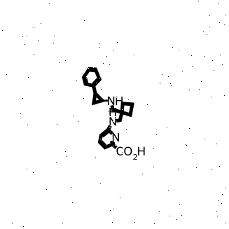 O=C(O)c1cccc(NCC2(CN[C@H]3CC3c3ccccc3)CCC2)n1